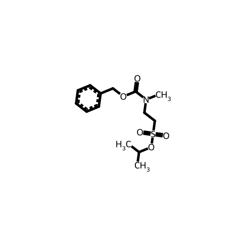 CC(C)OS(=O)(=O)CCN(C)C(=O)OCc1ccccc1